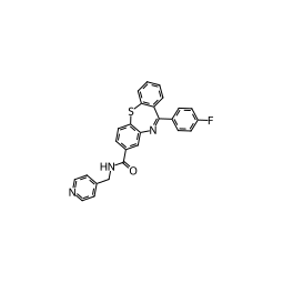 O=C(NCc1ccncc1)c1ccc2c(c1)N=C(c1ccc(F)cc1)c1ccccc1S2